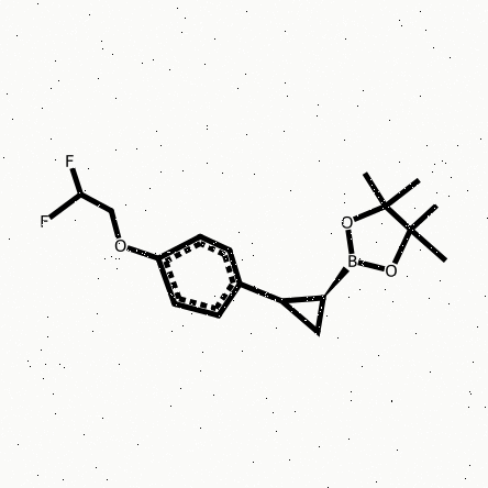 CC1(C)OB([C@H]2CC2c2ccc(OCC(F)F)cc2)OC1(C)C